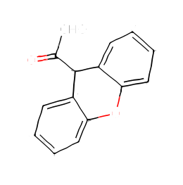 O=CC(=O)C1c2ccccc2Oc2ccccc21